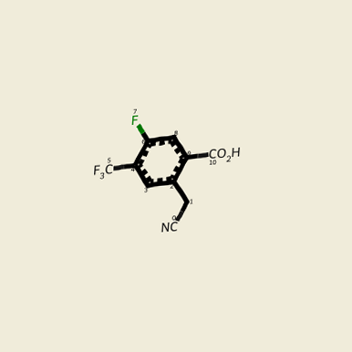 N#CCc1cc(C(F)(F)F)c(F)cc1C(=O)O